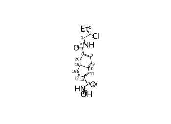 CCC(Cl)CNC(=O)c1ccc2cc(C(=O)NO)ccc2c1